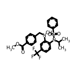 COC(=O)c1ccc(CN(C)c2cc(C(F)(F)F)ccc2N(C(C)C)S(=O)(=O)c2ccccc2)cc1